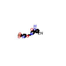 CC(C)(c1ccc(OCCN2CCC3(CC2)C(=O)Nc2ccc(C#N)cc23)cn1)S(C)(=O)=O